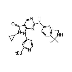 CC(C)(C)c1cc(-n2c3nc(Nc4ccc5c(c4)CNC5(C)C)ncc3c(=O)n2C2CC2)ccn1